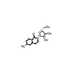 N#Cc1ccc2c(=O)n([C@@H]3O[C@H](CO)[C@@H](O)[C@H]3O)ccc2c1